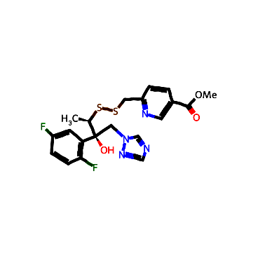 COC(=O)c1ccc(CSS[C@H](C)[C@](O)(Cn2cncn2)c2cc(F)ccc2F)nc1